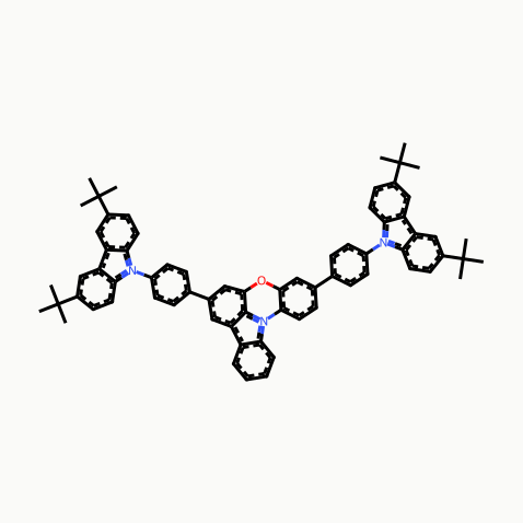 CC(C)(C)c1ccc2c(c1)c1cc(C(C)(C)C)ccc1n2-c1ccc(-c2ccc3c(c2)Oc2cc(-c4ccc(-n5c6ccc(C(C)(C)C)cc6c6cc(C(C)(C)C)ccc65)cc4)cc4c5ccccc5n-3c24)cc1